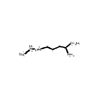 NC(CCCNNC=O)C(=O)O